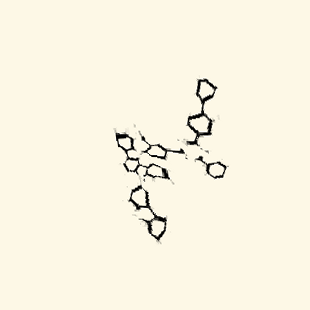 N#Cc1cc(-c2nc(-c3ccccc3)nc(-c3ccc(-c4ccccc4)cc3)n2)ccc1-n1c2ccccc2c2ccc3c(c4ccccc4n3-c3ccc4sc5ccccc5c4c3)c21